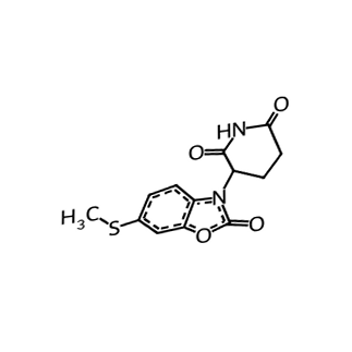 CSc1ccc2c(c1)oc(=O)n2C1CCC(=O)NC1=O